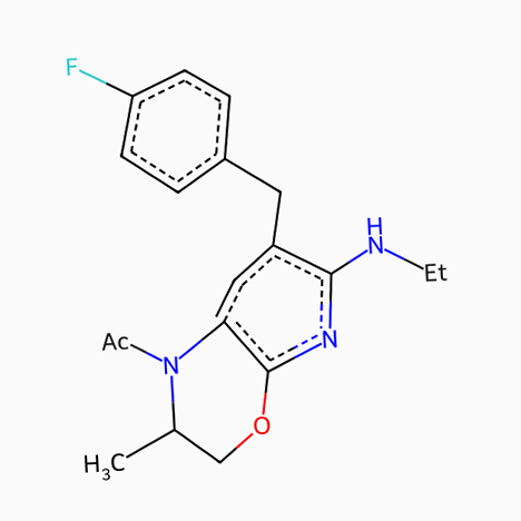 CCNc1nc2c(cc1Cc1ccc(F)cc1)N(C(C)=O)C(C)CO2